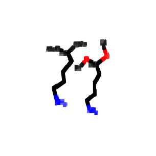 CCO[SiH](CCCCN)OCC.CO[SiH](CCCCN)OC